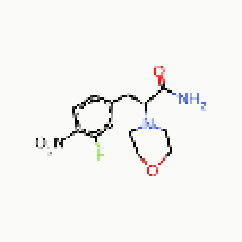 NC(=O)[C@H](Cc1ccc([N+](=O)[O-])c(F)c1)N1CCOCC1